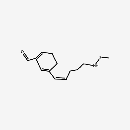 CSNCCC/C=C\C1=CC(C=O)=CCC1